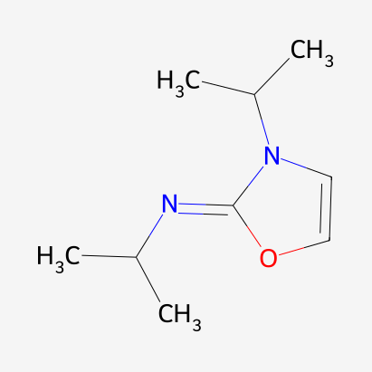 CC(C)/N=c1\occn1C(C)C